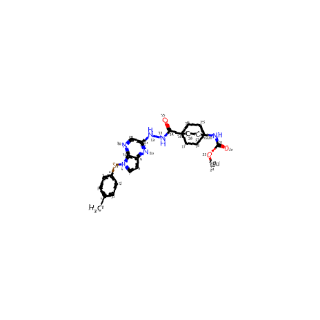 Cc1ccc(Sn2ccc3nc(NNC(=O)C45CCC(NC(=O)OC(C)(C)C)(CC4)CC5)cnc32)cc1